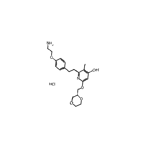 Cc1c(O)cc(OCC2COCCO2)nc1CCc1ccc(OCCN)cc1.Cl